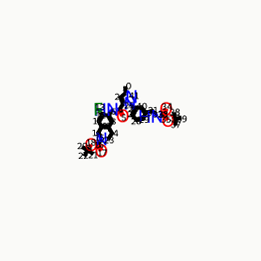 Cc1cc(C(=O)Nc2cc3c(cc2F)CN(C(=O)OC(C)(C)C)CC3)n(-c2cccc(CNC(=O)OC(C)(C)C)c2)n1